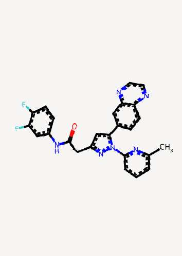 Cc1cccc(-n2nc(CC(=O)Nc3ccc(F)c(F)c3)cc2-c2ccc3nccnc3c2)n1